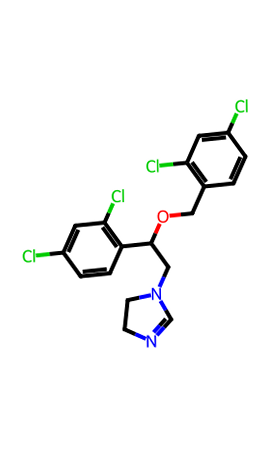 Clc1ccc(COC(CN2C=NCC2)c2ccc(Cl)cc2Cl)c(Cl)c1